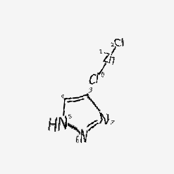 [Cl][Zn][Cl].c1c[nH]nn1